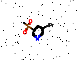 CC(C)c1cncc(S(C)(=O)=O)c1